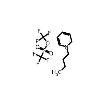 CCCCN1C=CC=CC1.O=S(=O)(OC(F)(F)F)C(F)(F)F